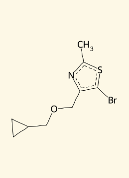 Cc1nc(COCC2CC2)c(Br)s1